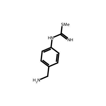 CSC(=N)Nc1ccc(CN)cc1